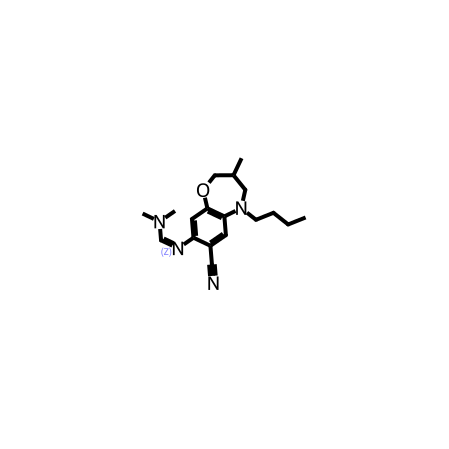 CCCCN1CC(C)COc2cc(/N=C\N(C)C)c(C#N)cc21